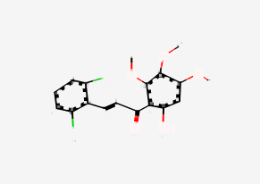 COc1cc(O)c(C(=O)/C=C/c2c(Cl)cccc2Cl)c(OC)c1OC